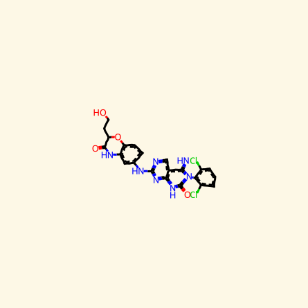 N=c1c2cnc(Nc3ccc4c(c3)NC(=O)C(CCO)O4)nc2[nH]c(=O)n1-c1c(Cl)cccc1Cl